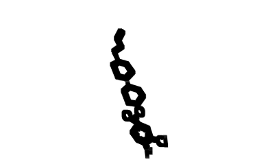 C=CCC[C@H]1CC[C@H](C2CCC(OC(=O)c3ccc(F)c(Cl)c3)CC2)CC1